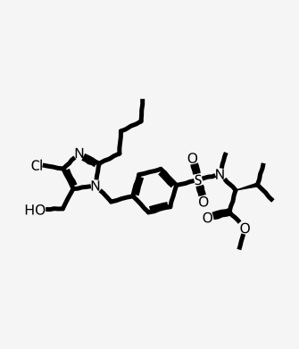 CCCCc1nc(Cl)c(CO)n1Cc1ccc(S(=O)(=O)N(C)[C@H](C(=O)OC)C(C)C)cc1